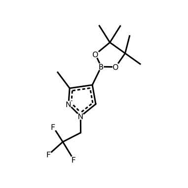 Cc1nn(CC(F)(F)F)cc1B1OC(C)(C)C(C)(C)O1